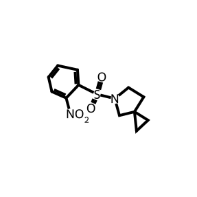 O=[N+]([O-])c1ccccc1S(=O)(=O)N1CCC2(CC2)C1